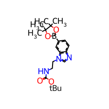 CC(C)(C)OC(=O)NCCn1cnc2ccc(B3OC(C)(C)C(C)(C)O3)cc21